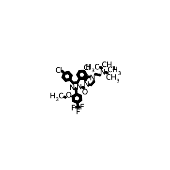 CCOc1cc(C(F)(F)F)ccc1C1=NC(c2ccc(Cl)cc2)C(c2ccc(Cl)cc2)N1C(=O)N1CCN(CCN(C(C)C)C(C)C)CC1